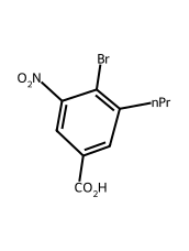 CCCc1cc(C(=O)O)cc([N+](=O)[O-])c1Br